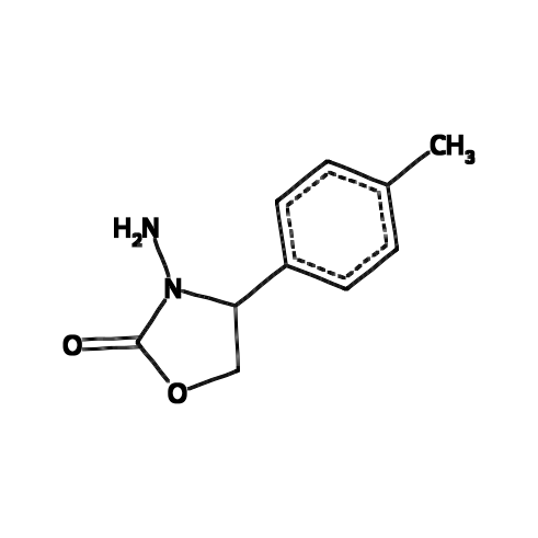 Cc1ccc(C2COC(=O)N2N)cc1